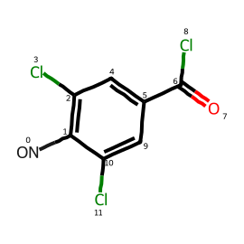 O=Nc1c(Cl)cc(C(=O)Cl)cc1Cl